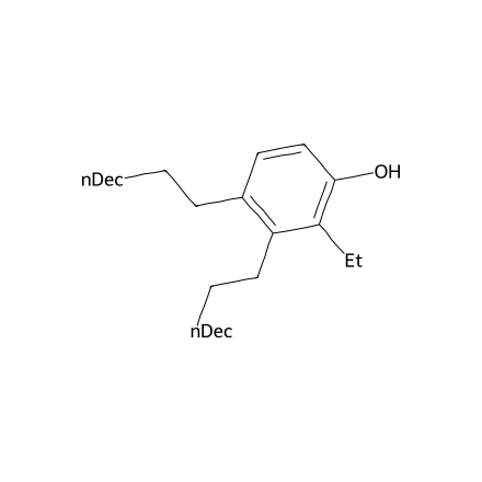 CCCCCCCCCCCCc1ccc(O)c(CC)c1CCCCCCCCCCCC